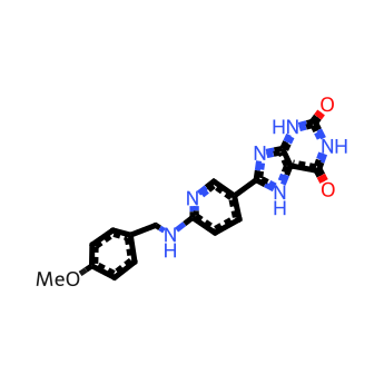 COc1ccc(CNc2ccc(-c3nc4[nH]c(=O)[nH]c(=O)c4[nH]3)cn2)cc1